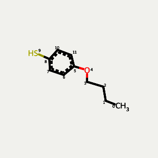 CCCCOc1ccc(S)cc1